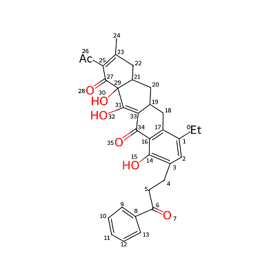 CCc1cc(CCC(=O)c2ccccc2)c(O)c2c1CC1CC3CC(C)=C(C(C)=O)C(=O)C3(O)C(O)=C1C2=O